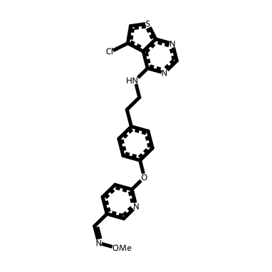 CO/N=C\c1ccc(Oc2ccc(CCNc3ncnc4scc(Cl)c34)cc2)nc1